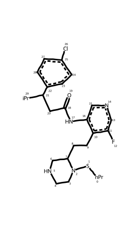 CCCSN1CCNCC1CCc1c(F)cncc1NC(=O)CC(c1ccc(Cl)cc1)C(C)C